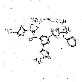 Cc1csc([C@H]2CCCN2C(=O)c2cc(-c3cnn(C)c3)nc(-c3nnc([C@](C)(N)Cc4ccccc4)o3)c2)n1.O=C(O)C=CC(=O)O